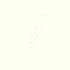 C=C(C)C(=O)Oc1ccc(-c2ccc(-c3ccc(OC(=O)C(C)C)cc3)c(F)c2)cc1